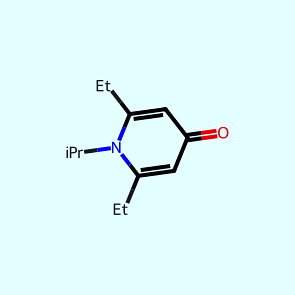 CCc1cc(=O)cc(CC)n1C(C)C